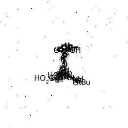 CC#C[C@@]1(O)CC[C@H]2[C@@H]3CCC4=CC(=O)CCC4=C3[C@@H](c3ccc(N(C)CCO[C@H]4CC[C@@]5(C)[C@@H](C4)C[C@@H](OC(=O)OCCNC(=O)OC(C)(C)C)[C@@H]4[C@@H]5C[C@H](O)[C@]5(C)[C@@H]([C@H](C)CCC(=O)O)CC[C@@H]45)cc3)C[C@@]21C